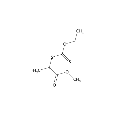 [CH2][C](SC(=S)OCC)C(=O)OC